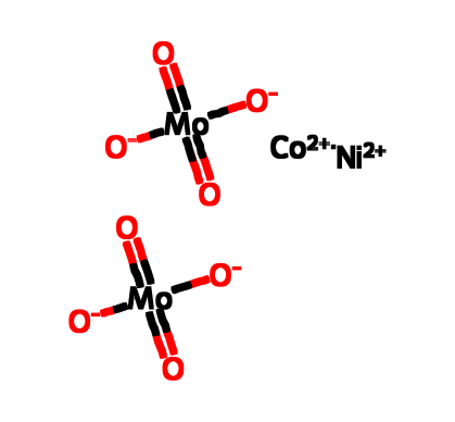 [Co+2].[Ni+2].[O]=[Mo](=[O])([O-])[O-].[O]=[Mo](=[O])([O-])[O-]